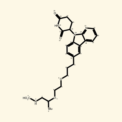 CC(C)(C)C(CNC(=O)O)OCCOCCCc1ccc2c(c1)c1cccnc1n2C1CCC(=O)NC1=O